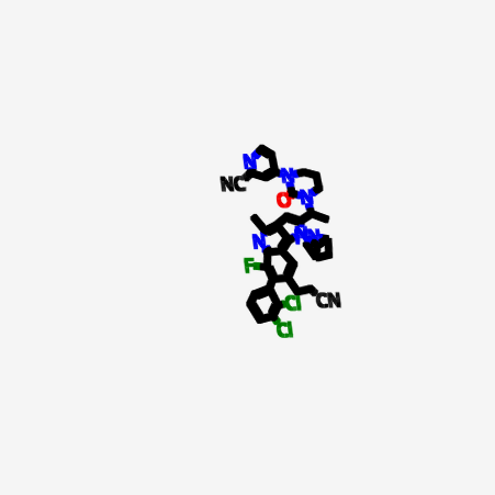 Cc1nc2c(F)c(-c3cccc(Cl)c3Cl)c(CCC#N)cc2c2c1cc(C(C)N1CCCN(c3ccnc(C#N)c3)C1=O)n2C1C2CNC1C2